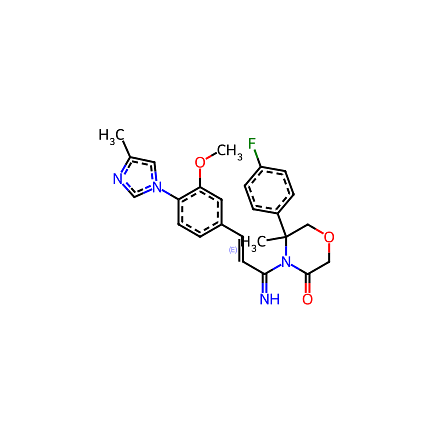 COc1cc(/C=C/C(=N)N2C(=O)COCC2(C)c2ccc(F)cc2)ccc1-n1cnc(C)c1